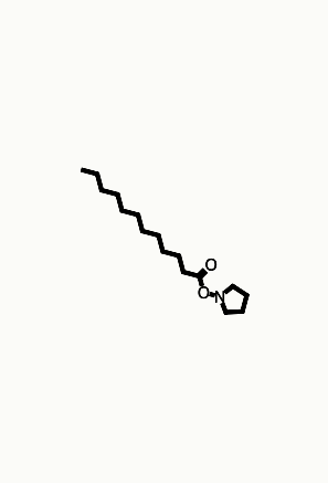 CCCCCCCCCCCC(=O)ON1CCCC1